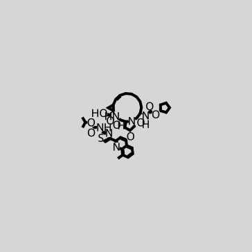 Cc1cccc2c(O[C@@H]3C[C@H]4C(=O)N[C@]5(C(=O)O)CC5/C=C\CCCCC[C@H](NC(=O)OC5CCCC5)C(=O)N4C3)cc(-c3csc(NC(=O)OC(C)C)n3)nc12